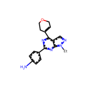 CCn1ncc2c(C3=CCOCC3)nc(-c3ccc(N)cc3)nc21